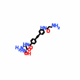 NCCC(=O)Nc1ccc(C#Cc2ccc(C(=O)N[C@@H](CN)C(=O)NO)cc2)cc1